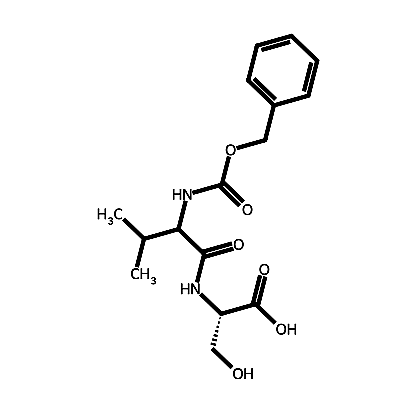 CC(C)C(NC(=O)OCc1ccccc1)C(=O)N[C@@H](CO)C(=O)O